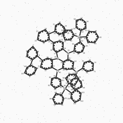 c1ccc(-c2ccccc2-c2ccc3c(c2)B2c4cc(-c5ccccc5-c5ccccc5)ccc4N(c4cccc([Si](c5ccccc5)(c5ccccc5)c5ccccc5)c4)c4cc(N(c5ccccc5)c5ccccc5)cc(c42)N3c2cccc([Si](c3ccccc3)(c3ccccc3)c3ccccc3)c2)cc1